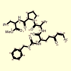 COC(=O)C(CC(C)C)NC(=O)C1CCCN1C(=O)C(NC(=O)C(CCC(=O)/C=C\C(C)=O)NC(=O)OCc1ccccc1)C(C)C